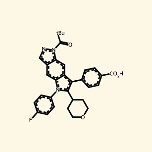 CC(C)(C)C(=O)n1ncc2cc3c(cc21)c(-c1ccc(C(=O)O)cc1)c(C1CCOCC1)n3-c1ccc(F)cc1